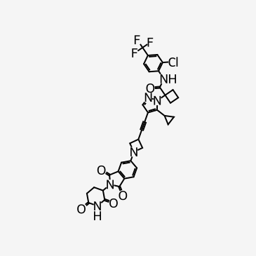 O=C1CCC(N2C(=O)c3ccc(N4CC(C#Cc5cnn(C6(C(=O)Nc7ccc(C(F)(F)F)cc7Cl)CCC6)c5C5CC5)C4)cc3C2=O)C(=O)N1